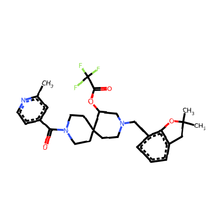 Cc1cc(C(=O)N2CCC3(CCN(Cc4cccc5c4OC(C)(C)C5)CC3OC(=O)C(F)(F)F)CC2)ccn1